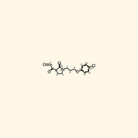 COC(=O)C1CCN(CCCOc2ccc(Cl)cc2)C1=O